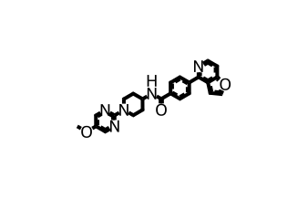 COc1cnc(N2CCC(NC(=O)c3ccc(-c4nccc5occc45)cc3)CC2)nc1